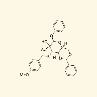 COc1ccc(CS[C@H]2[C@@H]3OC(c4ccccc4)OC[C@H]3O[C@H](Oc3ccccc3)[C@]2(O)C(C)=O)cc1